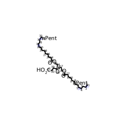 CCCCC/C=C\C/C=C\CCCCCCCC(=O)OCCN(CCOC(=O)CCCCCCC/C=C\C/C=C\CCCCC)C(=O)CCC(=O)O